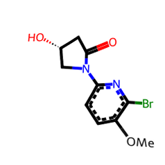 COc1ccc(N2C[C@H](O)CC2=O)nc1Br